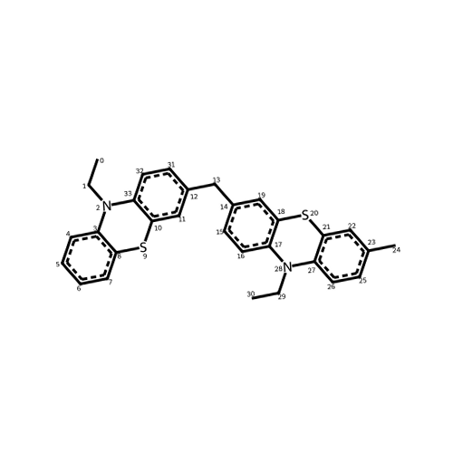 CCN1c2ccccc2Sc2cc(Cc3ccc4c(c3)Sc3cc(C)ccc3N4CC)ccc21